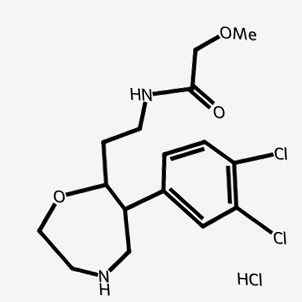 COCC(=O)NCCC1OCCNCC1c1ccc(Cl)c(Cl)c1.Cl